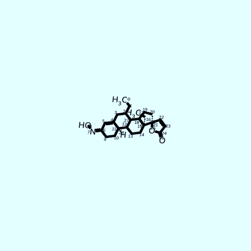 CCC1CC2=CC(=NO)CC[C@@H]2C2CC[C@@]3(CC)C(CC[C@@]34C=CC(=O)O4)C12